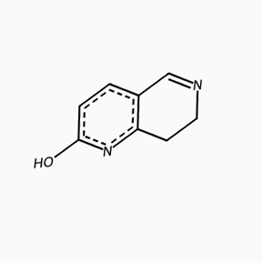 Oc1ccc2c(n1)CCN=C2